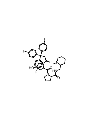 CN1CCCCC1CNC(=O)C1CCCN1C(=O)C1CC(O)CN1C(=O)CC(c1ccc(F)cc1)(c1ccc(F)cc1)c1ccc(F)cc1